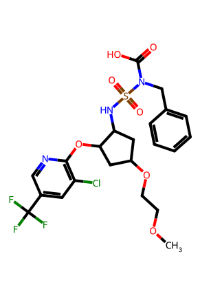 COCCOC1CC(NS(=O)(=O)N(Cc2ccccc2)C(=O)O)C(Oc2ncc(C(F)(F)F)cc2Cl)C1